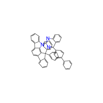 c1ccc(-c2ccc(-c3nc(-n4c5ccccc5c5ccc6c(c54)C(c4ccccc4)(c4ccccc4)c4ccccc4-6)nc4ccccc34)cc2)cc1